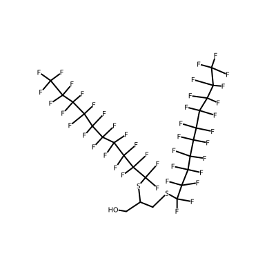 OCC(CSC(F)(F)C(F)(F)C(F)(F)C(F)(F)C(F)(F)C(F)(F)C(F)(F)C(F)(F)C(F)(F)C(F)(F)F)SC(F)(F)C(F)(F)C(F)(F)C(F)(F)C(F)(F)C(F)(F)C(F)(F)C(F)(F)C(F)(F)C(F)(F)F